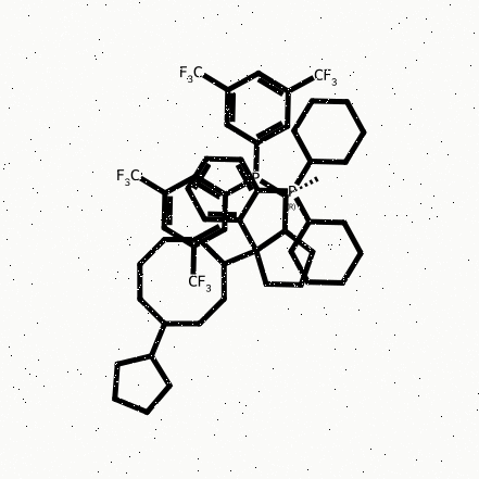 C[C@H](C1CCCC1(c1ccccc1P(C1CCCCC1)C1CCCCC1)C1CCCCC(C2CCCC2)CC1)P(c1cc(C(F)(F)F)cc(C(F)(F)F)c1)c1cc(C(F)(F)F)cc(C(F)(F)F)c1